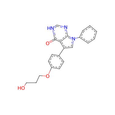 O=c1[nH]cnc2c1c(-c1ccc(OCCCO)cc1)cn2-c1ccccc1